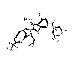 Cn1c(-c2cc3ccc(C(C)(F)F)nc3n2CC2CC2)nc2cc(C(=O)N3C[C@H](N)C[C@@H](F)C3)cc(F)c21